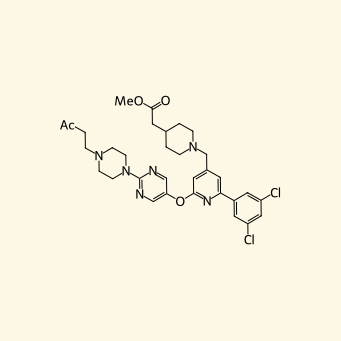 COC(=O)CC1CCN(Cc2cc(Oc3cnc(N4CCN(CCC(C)=O)CC4)nc3)nc(-c3cc(Cl)cc(Cl)c3)c2)CC1